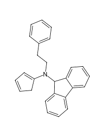 C1=CCC(N(CCc2ccccc2)C2c3ccccc3-c3ccccc32)=C1